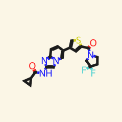 O=C(Nc1cn2cc(-c3csc(C(=O)N4CCC(F)(F)C4)c3)ccc2n1)C1CC1